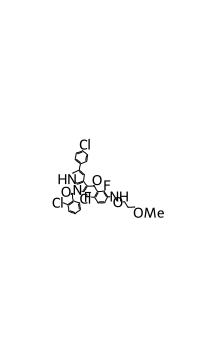 COCCCONc1ccc(F)c(C(=O)c2cn(C(=O)c3c(Cl)cccc3Cl)c3c2C=C(c2ccc(Cl)cc2)CN3)c1F